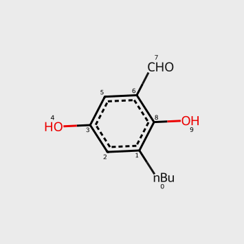 CCCCc1cc(O)cc(C=O)c1O